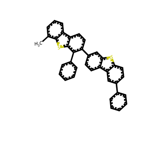 Cc1cccc2c1sc1c(-c3ccccc3)c(-c3ccc4c(c3)sc3ccc(-c5ccccc5)cc34)ccc12